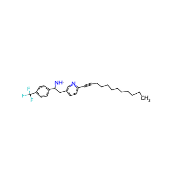 CCCCCCCCCCC#Cc1ccc(CC([NH])c2ccc(C(F)(F)F)cc2)cn1